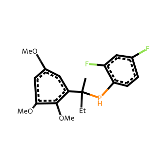 CCC(C)(Pc1ccc(F)cc1F)c1cc(OC)cc(OC)c1OC